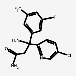 NC(=O)CC(N)(c1cc(F)cc(C(F)(F)F)c1)c1ccc(Cl)cn1